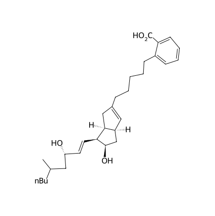 CCCCC(C)C[C@H](O)/C=C/[C@H]1[C@H]2CC(CCCCCc3ccccc3C(=O)O)=C[C@H]2C[C@H]1O